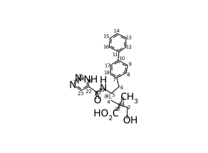 C[C@](CO)(C[C@@H](Cc1ccc(-c2ccccc2)cc1)NC(=O)c1cnn[nH]1)C(=O)O